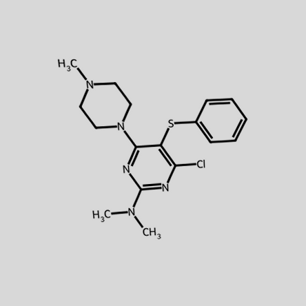 CN1CCN(c2nc(N(C)C)nc(Cl)c2Sc2ccccc2)CC1